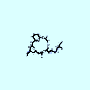 C/C=C1\CC2CC(=O)OC(/C=C/C=C\C=C(/C)CC)CCCC(C)CC3CCCC(CC(C1)O2)O3